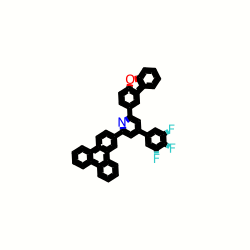 Fc1cc(-c2cc(-c3ccc4oc5ccccc5c4c3)nc(-c3ccc4c5ccccc5c5ccccc5c4c3)c2)cc(F)c1F